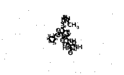 Cn1nnnc1SCCC1=C(C(=O)OCc2ccccc2)N2C(=O)C(NC(=O)C3NC(=O)CNC3=O)C2SC1